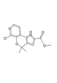 COC(=O)c1cc2c([nH]1)-c1ccnc(Cl)c1OC2(C)C